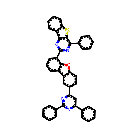 c1ccc(-c2cc(-c3ccc4oc5c(-c6nc(-c7ccccc7)c7sc8ccccc8c7n6)cccc5c4c3)nc(-c3ccccc3)n2)cc1